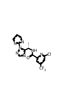 C[C@H](NC(=O)c1cc(C(F)(F)F)cc(Cl)n1)c1ncnn1-c1ncccn1